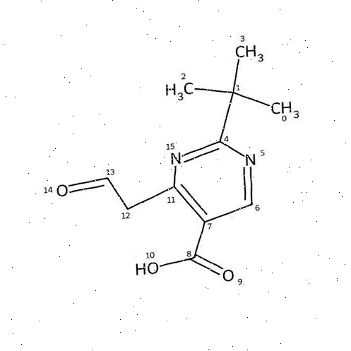 CC(C)(C)c1ncc(C(=O)O)c(CC=O)n1